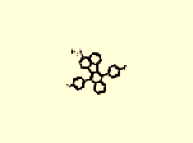 Bc1ccc2c3c(cccc13)-c1c-2c(-c2ccc(F)cc2)c2ccccc2c1-c1ccc(F)cc1